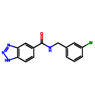 O=C(NCc1cccc(Br)c1)c1ccc2[nH]nnc2c1